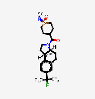 CC(=O)N=S1(=O)CCC(C(=O)N2CC[C@H]3c4ccc(C(F)(C(F)(F)F)C(F)(F)F)cc4CC[C@H]32)CC1